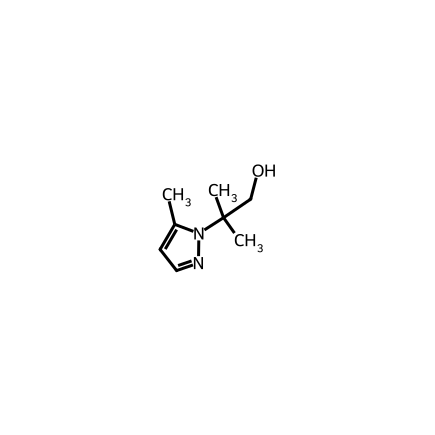 Cc1ccnn1C(C)(C)CO